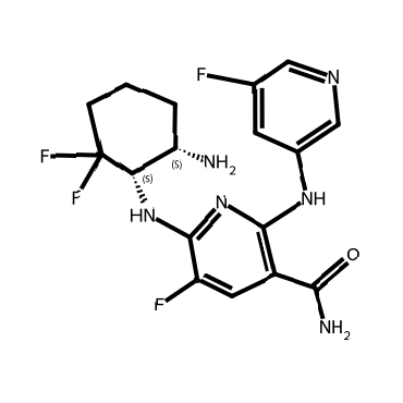 NC(=O)c1cc(F)c(N[C@H]2[C@@H](N)CCCC2(F)F)nc1Nc1cncc(F)c1